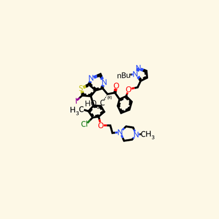 CCCCn1nccc1COc1ccccc1C(=O)[C@H](C(=O)O)c1ncnc2sc(I)c(-c3ccc(OCCN4CCN(C)CC4)c(Cl)c3C)c12